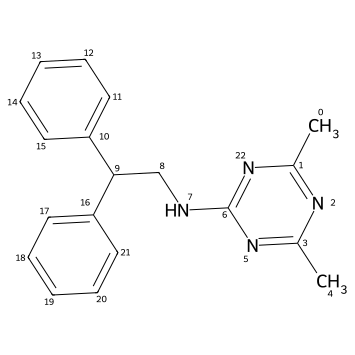 Cc1nc(C)nc(NCC(c2ccccc2)c2ccccc2)n1